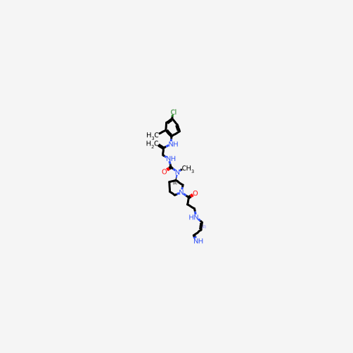 C=C(CNC(=O)N(C)[C@@H]1CCCN(C(=O)CCN/C=C\C=N)C1)Nc1ccc(Cl)cc1C